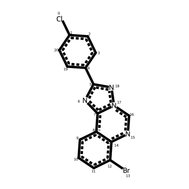 Clc1ccc(-c2nc3c4cccc(Br)c4ncn3n2)cc1